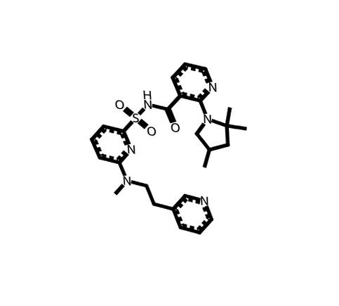 CC1CN(c2ncccc2C(=O)NS(=O)(=O)c2cccc(N(C)CCc3cccnc3)n2)C(C)(C)C1